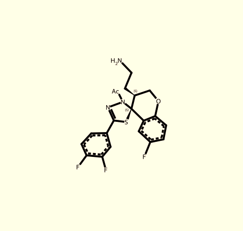 CC(=O)N1N=C(c2ccc(F)c(F)c2)S[C@@]12c1cc(F)ccc1OC[C@@H]2CCN